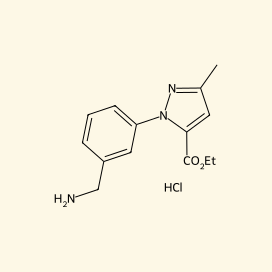 CCOC(=O)c1cc(C)nn1-c1cccc(CN)c1.Cl